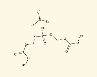 CC(C)OC(=O)OCOP(=O)(O)OCOC(=O)OC(C)C.CCN(CC)CC